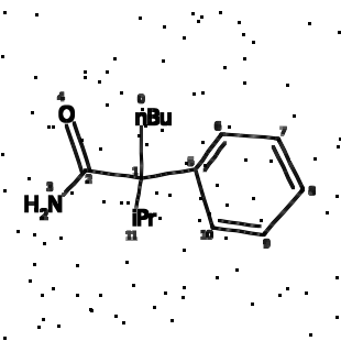 [CH2]CCCC(C(N)=O)(c1ccccc1)C(C)C